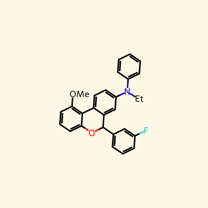 CCN(c1ccccc1)c1ccc2c(c1)C(c1cccc(F)c1)Oc1cccc(OC)c1-2